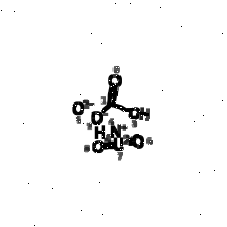 O=C([O-])O.[NH4+].[O-2].[O]=[U+2]=[O]